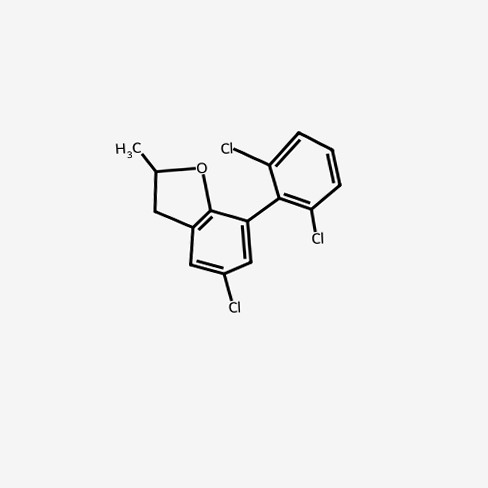 CC1Cc2cc(Cl)cc(-c3c(Cl)cccc3Cl)c2O1